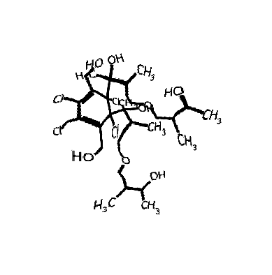 CC(O)C(C)COCC(C)C(C)(O)C1(Cl)C(CO)=C(Cl)C(Cl)=C(CO)C1(Cl)C(C)(O)C(C)COCC(C)C(C)O